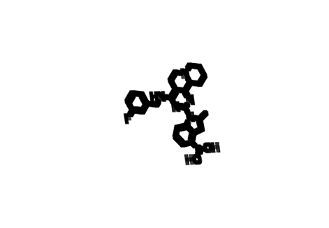 Cc1cc2c(B(O)O)cccc2n1-c1nc(NCc2cccc(F)c2)c2c(n1)C1CCCCN1CC2